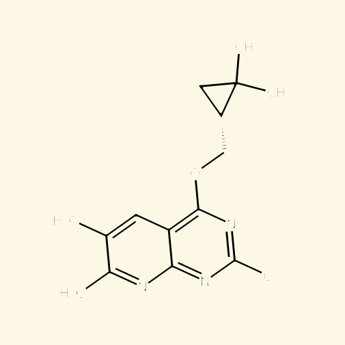 Cc1cc2c(OC[C@@H]3CC3(C)C)nc(Cl)nc2nc1C